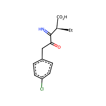 CC[C@@H](C(=N)C(=O)Cc1ccc(Cl)cc1)C(=O)O